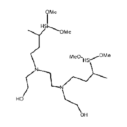 CO[SiH](OC)C(C)CCN(CCO)CCN(CCO)CCC(C)[SiH](OC)OC